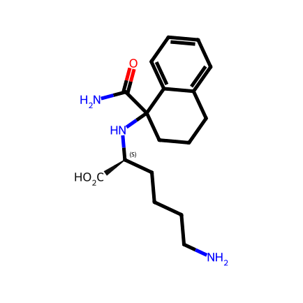 NCCCC[C@H](NC1(C(N)=O)CCCc2ccccc21)C(=O)O